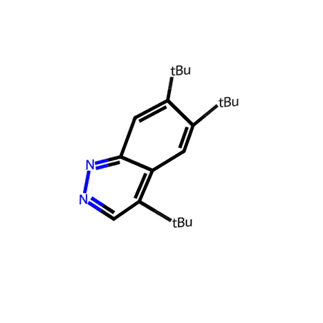 CC(C)(C)c1cc2nncc(C(C)(C)C)c2cc1C(C)(C)C